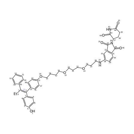 CC/C(=C(\c1ccc(O)cc1)c1ccc(OCCCCOCCCOCCCNc2ccc3c(c2)C(=O)N(C2CCC(=O)NC2=O)C3=O)cc1)c1ccccc1